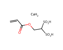 C=CC(=O)OCC(S(=O)(=O)O)S(=O)(=O)O.[CaH2]